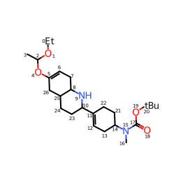 CCOC(C)OC1=CCC2NC(C3=CCC(N(C)C(=O)OC(C)(C)C)CC3)CCC2C1